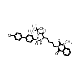 Cn1c(=O)n(CCCCC(NS(=O)(=O)c2ccc(-c3ccc(Cl)cc3)cc2)C(=O)OC(C)(C)C)c(=O)c2ccccc21